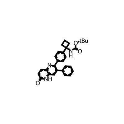 CC(C)(C)OC(=O)NC1(c2ccc(-c3nc4ccc(=O)[nH]c4cc3-c3ccccc3)cc2)CCC1